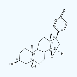 C[C@]12CC[C@H](O)C[C@@]1(O)CCC1C2CC[C@]2(C)[C@@H](c3ccc(=O)oc3)C[C@H]3O[C@]132